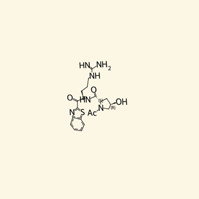 CC(=O)N1C[C@H](O)C[C@H]1C(=O)N[C@H](CCCNC(=N)N)C(=O)c1nc2ccccc2s1